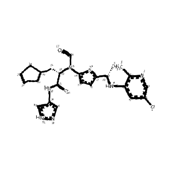 Cc1ncc(Cl)cc1N[C@@H](C)c1ccc(N(C=O)[C@@H](CC2CCCC2)C(=O)Nc2cn[nH]c2)s1